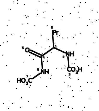 CC(C)C(NC(=O)O)C(=O)NC(=O)O